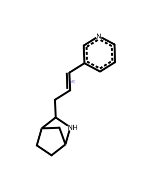 C(=C\c1cccnc1)/CC1NC2CCC1C2